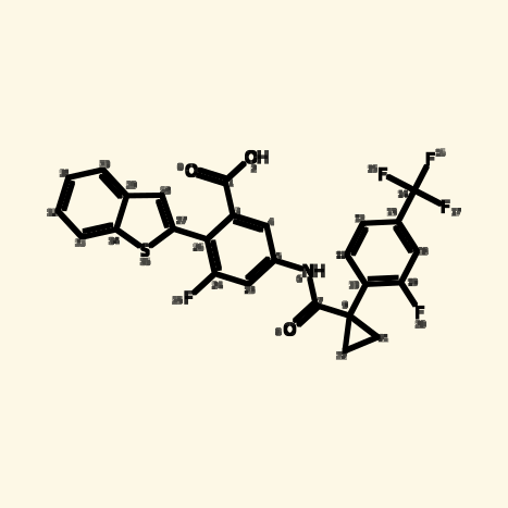 O=C(O)c1cc(NC(=O)C2(c3ccc(C(F)(F)F)cc3F)CC2)cc(F)c1-c1cc2ccccc2s1